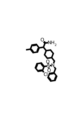 Cc1ccc(C(C(N)=O)C2CCC(CN(Cc3ccccc3)S(=O)(=O)c3ccccc3Cl)CC2)cc1